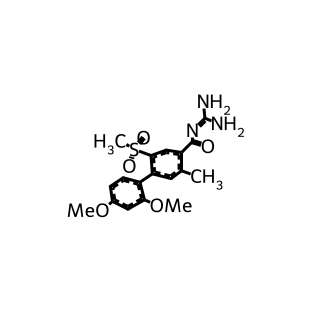 COc1ccc(-c2cc(C)c(C(=O)N=C(N)N)cc2S(C)(=O)=O)c(OC)c1